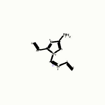 C=C/N=C\n1cc(N)nc1C=C